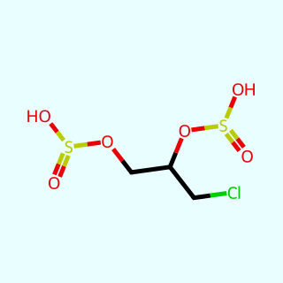 O=S(O)OCC(CCl)OS(=O)O